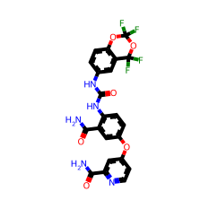 NC(=O)c1cc(Oc2ccc(NC(=O)Nc3ccc4c(c3)C(F)(F)OC(F)(F)O4)c(C(N)=O)c2)ccn1